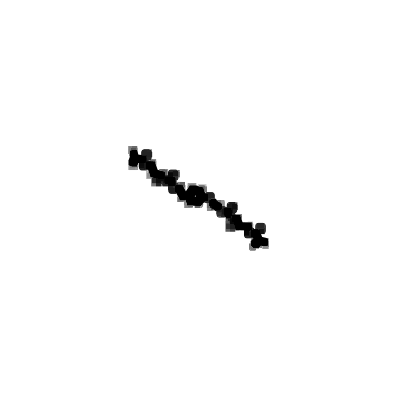 C=C(C)C(=O)OCCCNC(=O)OCCOc1ccc(CCOC(=O)NCCCOC(=O)C(=C)C)cc1